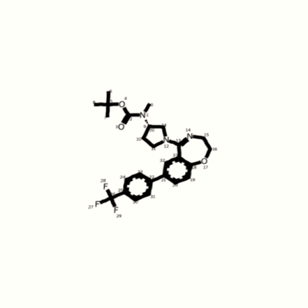 CN(C(=O)OC(C)(C)C)[C@H]1CCN(C2=NCCOc3ccc(-c4ccc(C(F)(F)F)cc4)cc32)C1